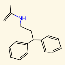 C=C(C)NCCC(c1ccccc1)c1ccccc1